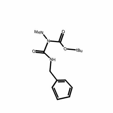 CNN(C(=O)NCc1ccccc1)C(=O)OC(C)(C)C